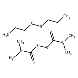 CCCSSCCC.CN(C)C(=S)SSC(=S)N(C)C